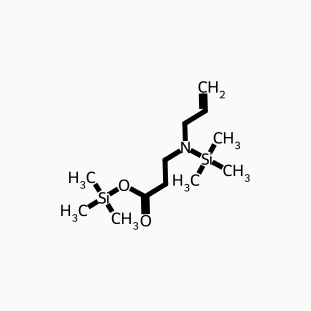 C=CCN(CCC(=O)O[Si](C)(C)C)[Si](C)(C)C